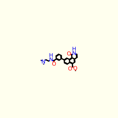 COC(=O)c1cc2cc[nH]c(=O)c2c2cc(-c3cccc(C(=O)NCCN(C)C)c3)ccc12